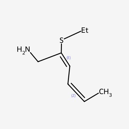 C/C=C\C=C(/CN)SCC